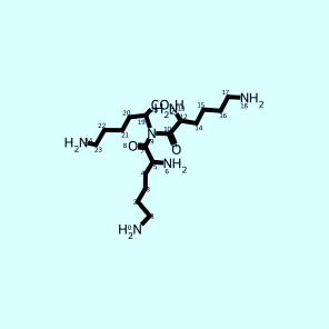 NCCCCC(N)C(=O)N(C(=O)C(N)CCCCN)C(CCCCN)C(=O)O